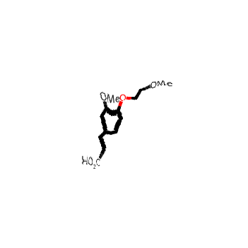 COCCOc1ccc(/C=C/C(=O)O)cc1OC